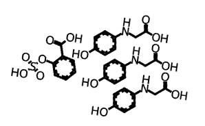 O=C(O)CNc1ccc(O)cc1.O=C(O)CNc1ccc(O)cc1.O=C(O)CNc1ccc(O)cc1.O=C(O)c1ccccc1OS(=O)(=O)O